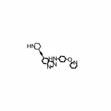 C(#CC1CCCNC1)c1ccc2ncnc(Nc3ccc(Oc4ccccn4)cc3)c2c1